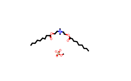 CCCCCCCCC(=O)OCC[N+](C)(C)CCOC(=O)CCCCCCCC.COS(=O)(=O)[O-]